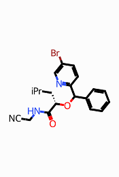 CC(C)C[C@H](OC(c1ccccc1)c1ccc(Br)cn1)C(=O)NCC#N